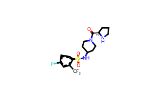 O=C([C@H]1CCCN1)N1CCC(NS(=O)(=O)c2ccc(F)cc2C(F)(F)F)CC1